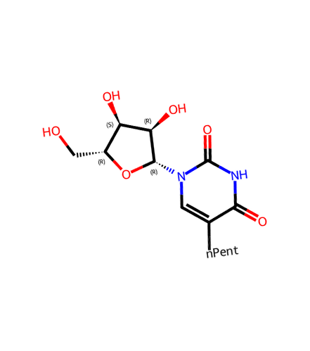 CCCCCc1cn([C@@H]2O[C@H](CO)[C@@H](O)[C@H]2O)c(=O)[nH]c1=O